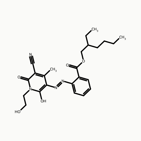 CCCCC(CC)COC(=O)c1ccccc1/N=N/c1c(C)c(C#N)c(=O)n(CCO)c1O